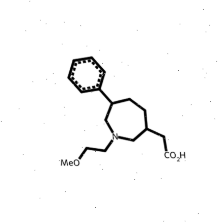 COCCN1CC(CC(=O)O)CCC(c2ccccc2)C1